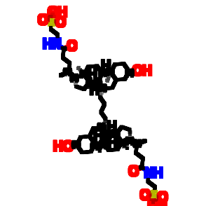 C[C@@H](CCC(=O)NCCS(=O)(=O)O)[C@H]1CC[C@H]2[C@@H]3[C@@H](CCCC[C@H]4CC5C[C@H](O)CC[C@]5(C)[C@H]5CC[C@]6(C)[C@@H]([C@@H](C)CCC(=O)NCCS(=O)(=O)O)CC[C@H]6[C@H]45)CC4C[C@H](O)CC[C@]4(C)[C@H]3CC[C@]12C